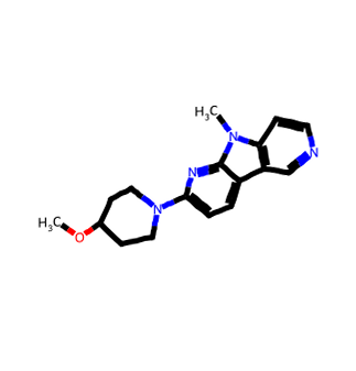 COC1CCN(c2ccc3c4cnccc4n(C)c3n2)CC1